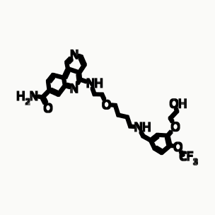 NC(=O)c1ccc2c(c1)nc(NCCOCCCCNCc1ccc(OC(F)(F)F)c(OCCO)c1)c1ccncc12